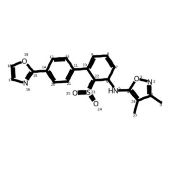 Cc1noc(NC2C=CC=C(c3ccc(-c4ncco4)cc3)C2=S(=O)=O)c1C